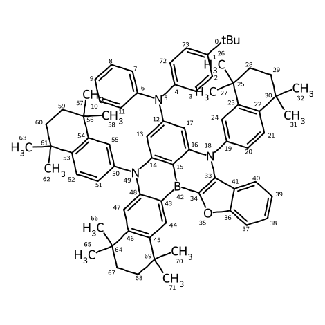 CC(C)(C)c1ccc(N(c2ccccc2)c2cc3c4c(c2)N(c2ccc5c(c2)C(C)(C)CCC5(C)C)c2c(oc5ccccc25)B4c2cc4c(cc2N3c2ccc3c(c2)C(C)(C)CCC3(C)C)C(C)(C)CCC4(C)C)cc1